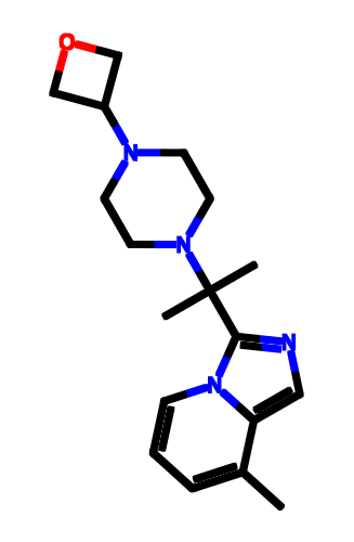 Cc1cccn2c(C(C)(C)N3CCN(C4COC4)CC3)ncc12